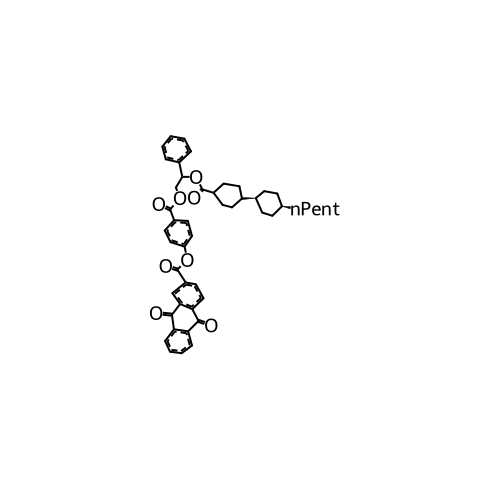 CCCCC[C@H]1CC[C@@H](C2CCC(C(=O)OC(COC(=O)c3ccc(OC(=O)c4ccc5c(c4)C(=O)c4ccccc4C5=O)cc3)c3ccccc3)CC2)CC1